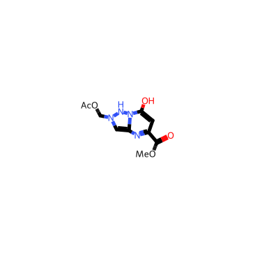 COC(=O)C1=NC2=CN(COC(C)=O)NN2C(O)=C1